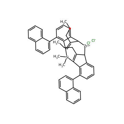 CCCC1=C2c3c(-c4cccc5ccccc45)cccc3[CH]1[Zr+2][CH]1C(CCC)=C(c3c(-c4cccc5ccccc45)cccc31)[Si]2(C)C.[Cl-].[Cl-]